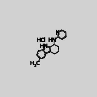 Cc1ccc2[nH]c3c(c2c1)CCCC3Nc1ccccn1.Cl